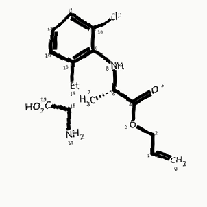 C=CCOC(=O)[C@H](C)Nc1c(Cl)cccc1CC.NCC(=O)O